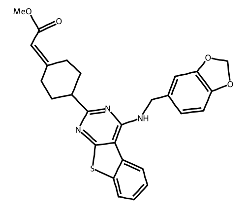 COC(=O)C=C1CCC(c2nc(NCc3ccc4c(c3)OCO4)c3c(n2)sc2ccccc23)CC1